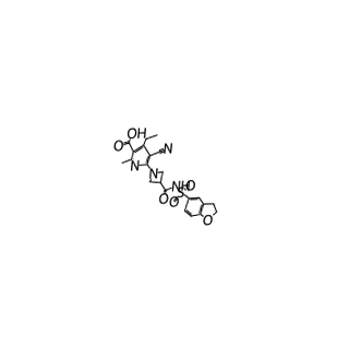 CCc1c(C#N)c(N2CC(C(=O)NS(=O)(=O)c3ccc4c(c3)CCO4)C2)nc(C)c1C(=O)O